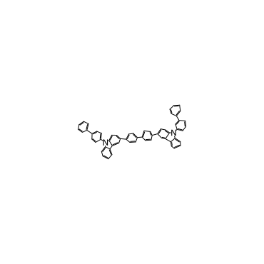 c1ccc(-c2ccc(-n3c4ccccc4c4cc(-c5ccc(-c6ccc(-c7ccc8c(c7)c7ccccc7n8-c7cccc(-c8ccccc8)c7)cc6)cc5)ccc43)cc2)cc1